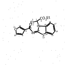 CCOC(=O)C(CC)n1/c(=N\C(=O)c2ccoc2)sc2ccccc21